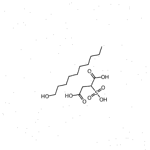 CCCCCCCCCCO.O=C(O)CC(C(=O)O)S(=O)(=O)O